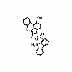 CCc1ccccc1-c1c(C(C)(C)C)ccc2c1C=C(C)[CH]2[Zr]([Cl])([Cl])[c]1cccc2c1[SiH2]c1ccccc1-2